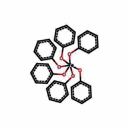 c1ccc([O][Fe]([O]c2ccccc2)([O]c2ccccc2)([O]c2ccccc2)([O]c2ccccc2)[O]c2ccccc2)cc1